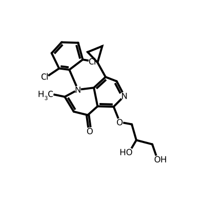 Cc1cc(=O)c2c(OCC(O)CO)ncc(C3CC3)c2n1-c1c(Cl)cccc1Cl